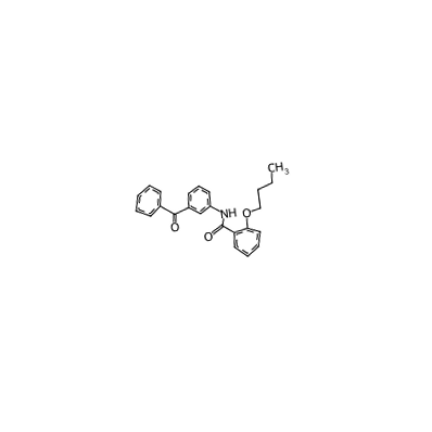 CCCCOc1ccccc1C(=O)Nc1cccc(C(=O)c2ccccc2)c1